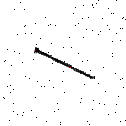 CCCOS(=S)(=S)SSSSSSSSSSSSSSSSSSSSSSSSSSSSSSSSSSSSSSSSSSSSSSSS